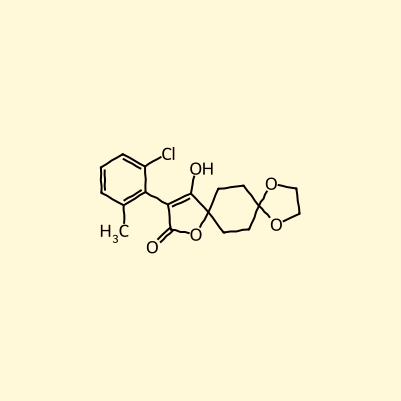 Cc1cccc(Cl)c1C1=C(O)C2(CCC3(CC2)OCCO3)OC1=O